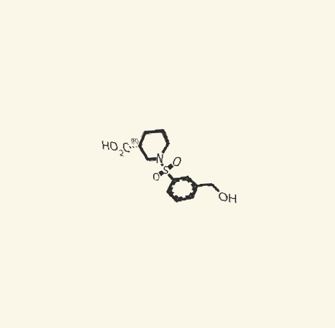 O=C(O)[C@@H]1CCCN(S(=O)(=O)c2cccc(CO)c2)C1